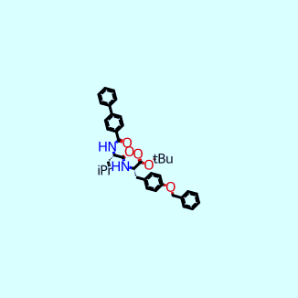 CC(C)C[C@H](NC(=O)c1ccc(-c2ccccc2)cc1)C(=O)N[C@@H](Cc1ccc(OCc2ccccc2)cc1)C(=O)OC(C)(C)C